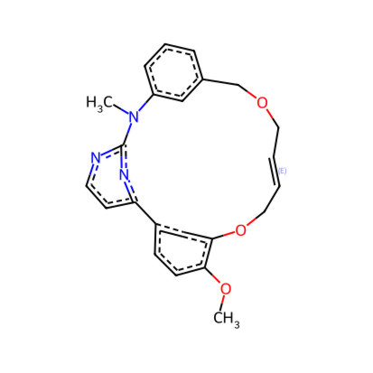 COc1ccc2cc1OC/C=C/COCc1cccc(c1)N(C)c1nccc-2n1